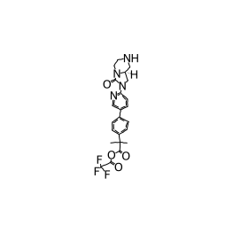 CC(C)(C(=O)OC(=O)C(F)(F)F)c1ccc(-c2ccc(N3C[C@@H]4CNCCN4C3=O)nc2)cc1